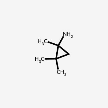 CC1(C)CC1(C)N